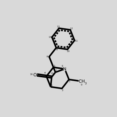 CC1CC2CCN1C(Cc1ccccc1)C2=O